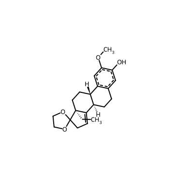 CC[C@]12CC[C@@H]3c4cc(OC)c(O)cc4CC[C@H]3C1=CCC21OCCO1